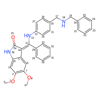 COc1cc2c(cc1OC)/C(=C(/Nc1ccc(CNCc3ccccc3)cc1)c1ccccc1)C(=O)N2